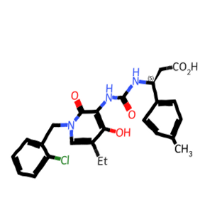 CCc1cn(Cc2ccccc2Cl)c(=O)c(NC(=O)N[C@@H](CC(=O)O)c2ccc(C)cc2)c1O